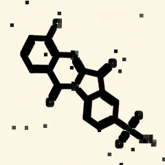 NS(=O)(=O)c1ccc2c(c1)C(=O)c1nc3c(Cl)cccc3c(=O)n1-2